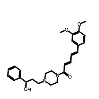 COc1ccc(C=CC=CC(=O)N2CCN(CCC(O)c3ccccc3)CC2)cc1OC